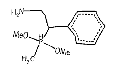 CO[PH](C)(OC)C(CN)c1ccccc1